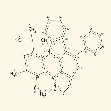 Cc1cc(C(C)(C)C)c2c(c1C)c1c3c(cc[n+]1C)cc(-c1ccccc1)c1c4ccccc4n2c13